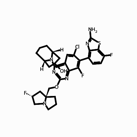 Nc1nc2c(-c3c(Cl)cc4c(N5[C@@H]6CCC[C@H]5CC(O)C6)nc(OC[C@@]56CCCN5C[C@H](F)C6)nc4c3F)ccc(F)c2s1